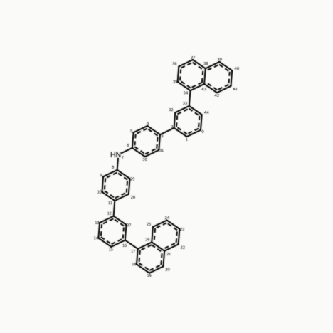 c1cc(-c2ccc(Nc3ccc(-c4cccc(-c5cccc6ccccc56)c4)cc3)cc2)cc(-c2cccc3ccccc23)c1